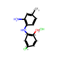 Cl.Nc1cc(C(F)(F)F)ccc1Nc1cc(Cl)ccc1O